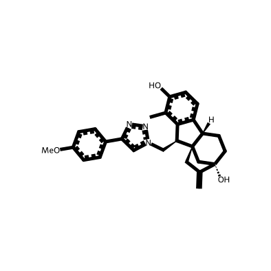 C=C1C[C@]23C[C@@]1(O)CC[C@H]2c1ccc(O)c(C)c1[C@@H]3Cn1cc(-c2ccc(OC)cc2)nn1